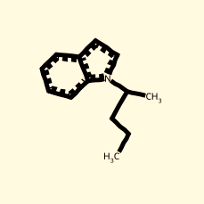 CCCC(C)n1ccc2ccccc21